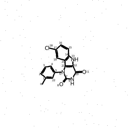 Cc1cccc(-n2c(=O)[nH]c(=O)c3[nH]c4ccc(Cl)cc4c32)c1